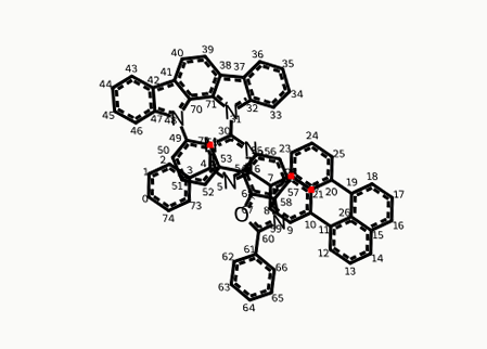 c1ccc(-c2nc(-c3ccc(-c4cccc5cccc(-c6ccccc6)c45)cc3)nc(-n3c4ccccc4c4ccc5c6ccccc6n(-c6cccc(-c7cccc8nc(-c9ccccc9)oc78)c6)c5c43)n2)cc1